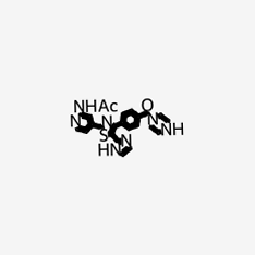 CC(=O)Nc1cc(-c2nc(-c3ccc(C(=O)N4CCNCC4)cc3)c(-c3ncc[nH]3)s2)ccn1